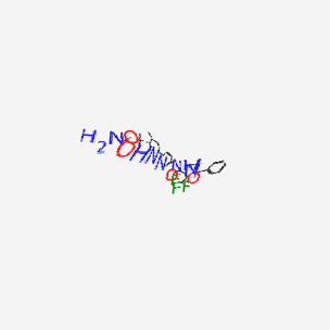 CC(CC(=N)c1ccc(NC(=O)c2nc(-c3ccccc3)oc2C(F)(F)F)cn1)C(C)C(C)(C)OC(N)=O